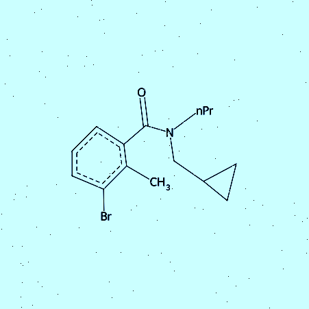 CCCN(CC1CC1)C(=O)c1cccc(Br)c1C